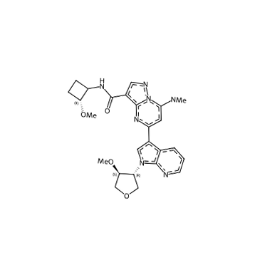 CNc1cc(-c2cn([C@@H]3COC[C@H]3OC)c3ncccc23)nc2c(C(=O)NC3CC[C@H]3OC)cnn12